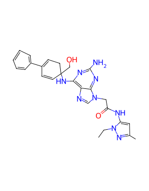 CCn1nc(C)cc1NC(=O)Cn1cnc2c(NC3(CO)C=CC(c4ccccc4)=CC3)nc(N)nc21